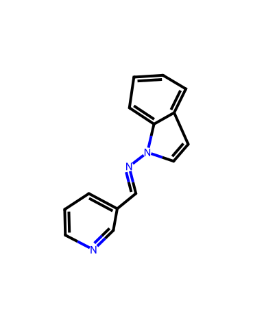 C(=Nn1ccc2ccccc21)c1cccnc1